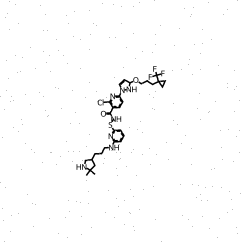 CC1(C)CC(CCCNc2cccc(SNC(=O)c3ccc(N4C=CC(OCCCC5(C(F)(F)F)CC5)N4)nc3Cl)n2)CN1